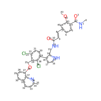 CNC(=O)c1ccc(C=CC(=O)NCc2[nH]ccc2-c2ccc(Cl)c(COc3cccc4ccc(C)nc34)c2Cl)cc1OC